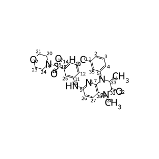 Cc1cccc(N2c3nc(Nc4cccc(S(=O)(=O)N5CCOCC5)c4)ccc3N(C)C(=O)C2C)c1